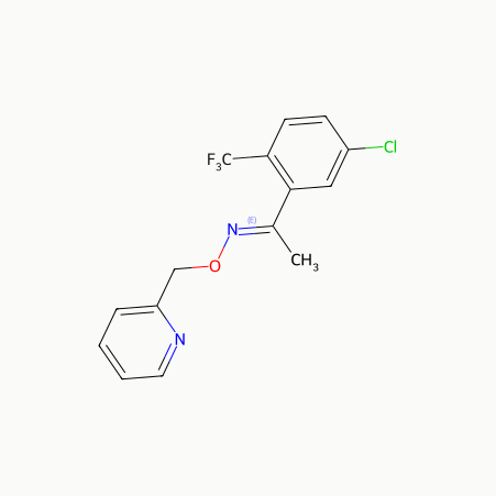 C/C(=N\OCc1ccccn1)c1cc(Cl)ccc1C(F)(F)F